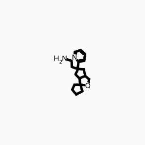 NCCC1(c2ccccn2)CC2COC3(CCCC3)C2C1